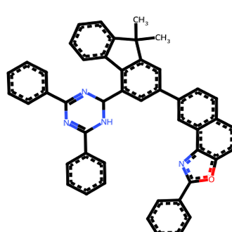 CC1(C)c2ccccc2-c2c(C3N=C(c4ccccc4)N=C(c4ccccc4)N3)cc(-c3ccc4ccc5oc(-c6ccccc6)nc5c4c3)cc21